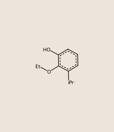 CCOc1c(O)cccc1[C](C)C